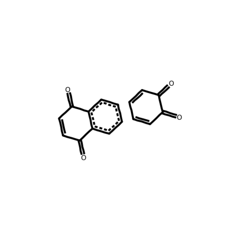 O=C1C=CC(=O)c2ccccc21.O=C1C=CC=CC1=O